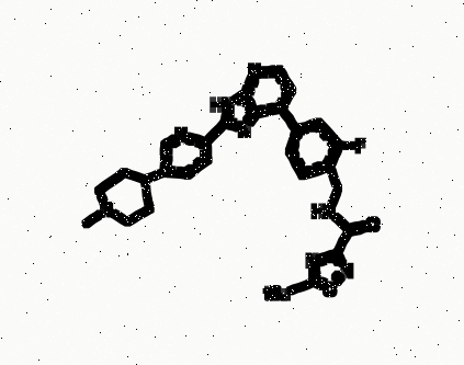 CN1CCC(c2ccc(-c3nc4c(-c5ccc(CNC(=O)c6noc(C(C)(C)C)n6)c(F)c5)ccnc4[nH]3)nc2)CC1